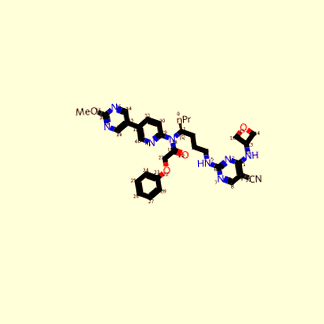 CCC[C@@H](CCCNc1ncc(C#N)c(NC2COC2)n1)N(C(=O)COc1ccccc1)c1ccc(-c2cnc(OC)nc2)cn1